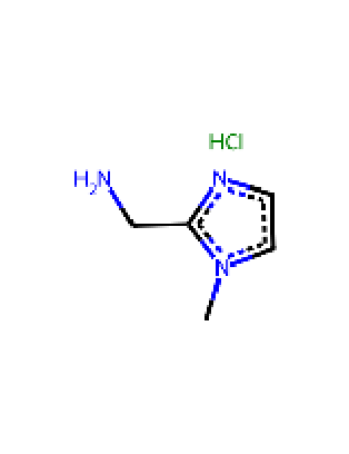 Cl.Cn1ccnc1CN